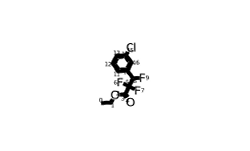 CCOC(=O)C(F)(F)C(F)c1cccc(Cl)c1